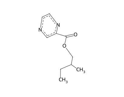 CCC(C)COC(=O)c1cnccn1